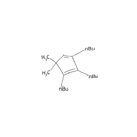 CCCCC1=[C]C(C)(C)C(CCCC)=C1CCCC